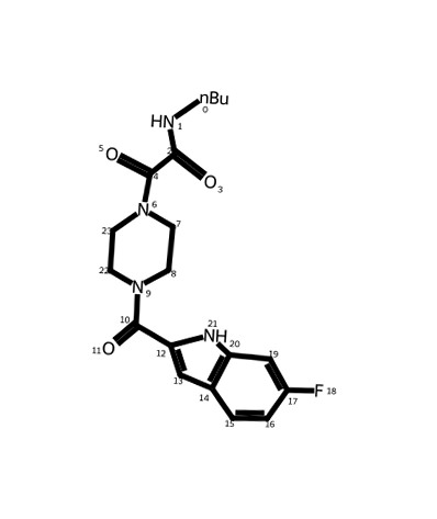 CCCCNC(=O)C(=O)N1CCN(C(=O)c2cc3ccc(F)cc3[nH]2)CC1